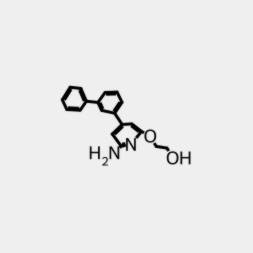 Nc1cc(-c2cccc(-c3ccccc3)c2)cc(OCCO)n1